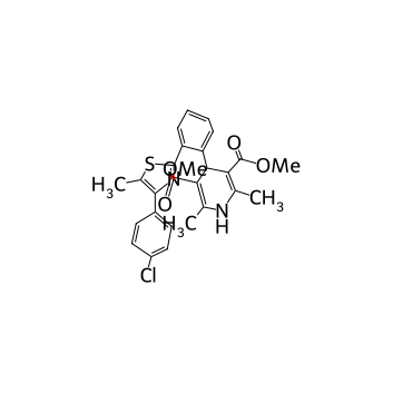 COC(=O)C1=C(C)NC(C)=C(C(=O)OC)C1c1ccccc1-c1nc(-c2ccc(Cl)cc2)c(C)s1